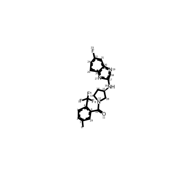 Cc1ccc(C(F)(F)F)c(C(=O)N2CC[C@@H](Nc3cnc4cc(F)ccc4n3)C2)c1